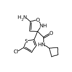 NC1=CC(C(=O)NC2CCC2)(c2ccc(Cl)s2)NO1